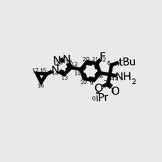 CC(C)OC(=O)C(N)(CC(C)(C)C)c1ccc(-c2cn(C3CC3)nn2)cc1F